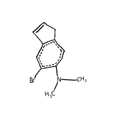 CN(C)c1cc2c(cc1Br)C=CC2